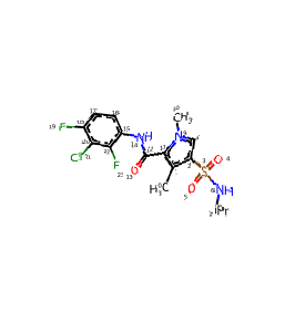 Cc1c(S(=O)(=O)NC(C)C)cn(C)c1C(=O)Nc1ccc(F)c(Cl)c1F